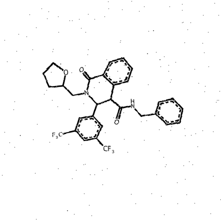 O=C(NCc1ccccc1)C1c2ccccc2C(=O)N(CC2CCCO2)C1c1cc(C(F)(F)F)cc(C(F)(F)F)c1